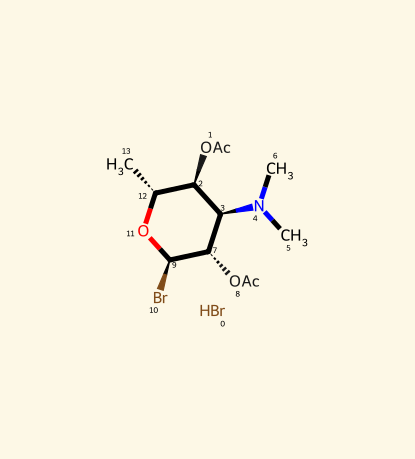 Br.CC(=O)O[C@H]1[C@@H](N(C)C)[C@H](OC(C)=O)[C@@H](Br)O[C@@H]1C